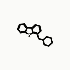 c1ccc2c(c1)sc1c(CC3CCCCC3)cccc12